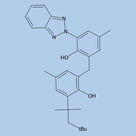 Cc1cc(Cc2cc(C)cc(C(C)(C)CC(C)(C)C)c2O)c(O)c(-n2nc3ccccc3n2)c1